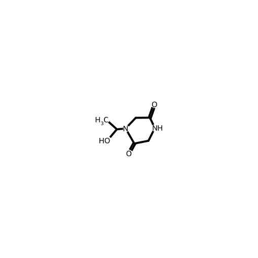 CC(O)N1CC(=O)NCC1=O